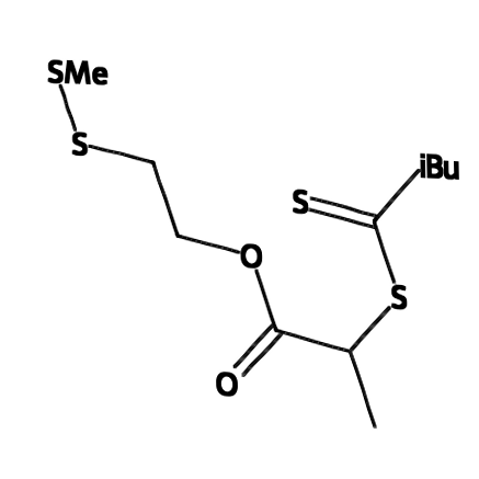 CCC(C)C(=S)SC(C)C(=O)OCCSSC